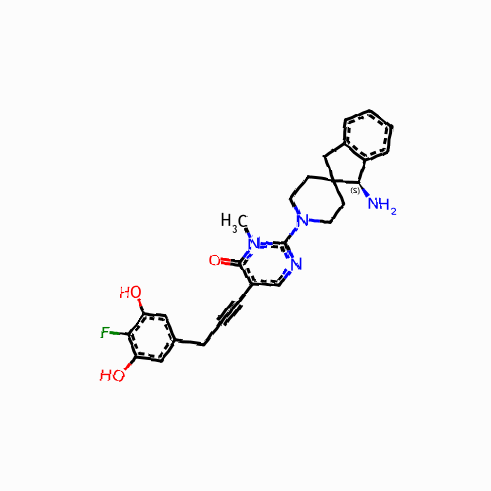 Cn1c(N2CCC3(CC2)Cc2ccccc2[C@H]3N)ncc(C#CCc2cc(O)c(F)c(O)c2)c1=O